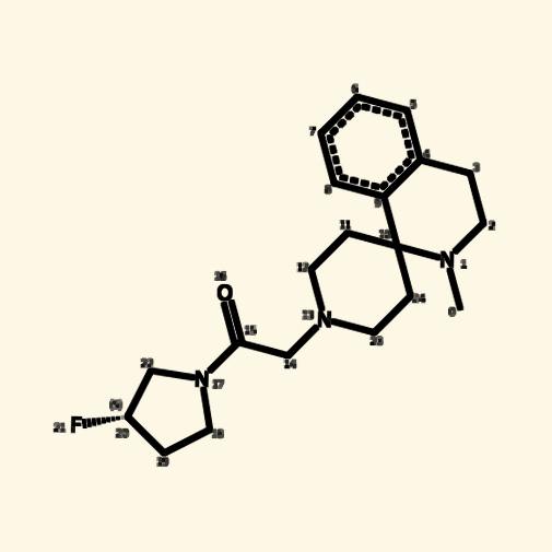 CN1CCc2ccccc2C12CCN(CC(=O)N1CC[C@H](F)C1)CC2